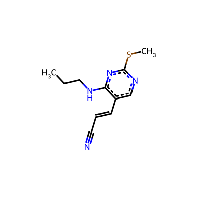 CCCNc1nc(SC)ncc1/C=C/C#N